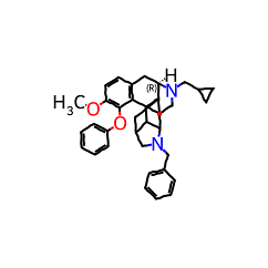 COc1ccc2c(c1Oc1ccccc1)C13CCN(CC4CC4)[C@H](C2)C12CCC1C3C(CN1Cc1ccccc1)C2